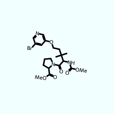 COC(=O)NC(C(=O)N1CCCC1C(=O)OC)C(C)(C)CCOc1cncc(Br)c1